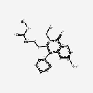 CC(C)Cn1c(CCNC(=O)OC(C)(C)C)c(-c2ccccc2)c2cc(C(=O)O)ccc2c1=O